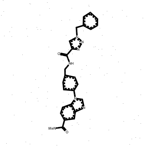 CNC(=O)c1ccc2c(c1)ncn2-c1ccc(CNC(=O)c2cn(Cc3ccccc3)nn2)cc1